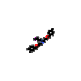 CC1CCC(COCCCN(CCCI)CCCOCC2CCC(C)CC2)CC1